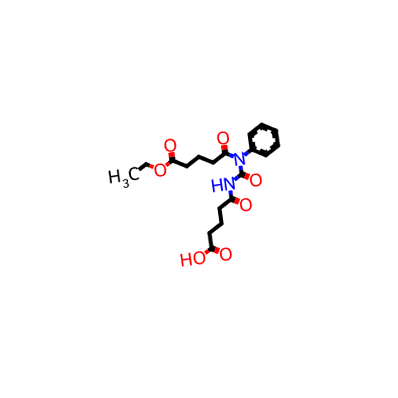 CCOC(=O)CCCC(=O)N(C(=O)NC(=O)CCCC(=O)O)c1ccccc1